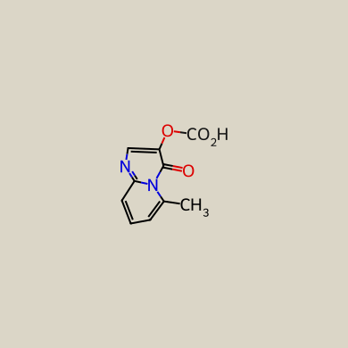 Cc1cccc2ncc(OC(=O)O)c(=O)n12